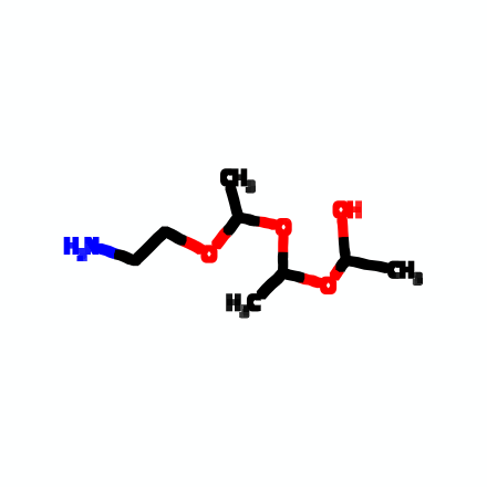 CC(O)OC(C)OC(C)OCCN